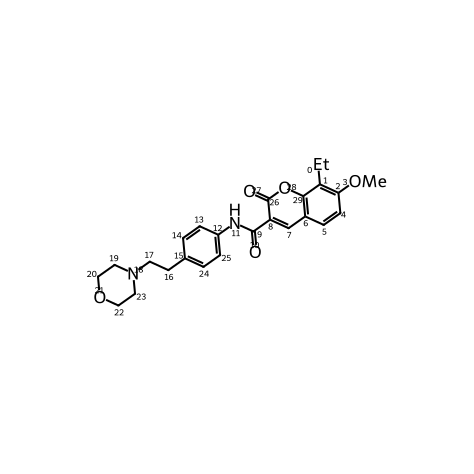 CCc1c(OC)ccc2cc(C(=O)Nc3ccc(CCN4CCOCC4)cc3)c(=O)oc12